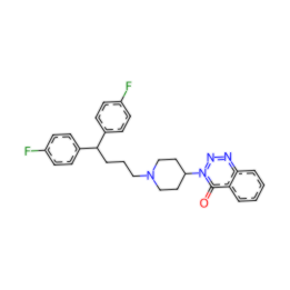 O=c1c2ccccc2nnn1C1CCN(CCCC(c2ccc(F)cc2)c2ccc(F)cc2)CC1